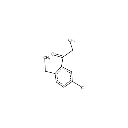 CCC(=O)c1cc(Cl)ccc1CC